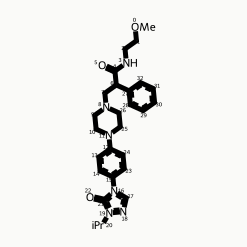 COCCNC(=O)C(CN1CCN(c2ccc(-n3cnn(C(C)C)c3=O)cc2)CC1)c1ccccc1